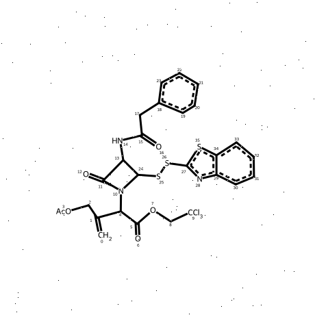 C=C(COC(C)=O)C(C(=O)OCC(Cl)(Cl)Cl)N1C(=O)C(NC(=O)Cc2ccccc2)C1SSc1nc2ccccc2s1